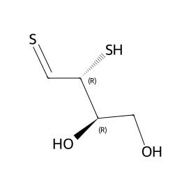 OC[C@@H](O)[C@@H](S)C=S